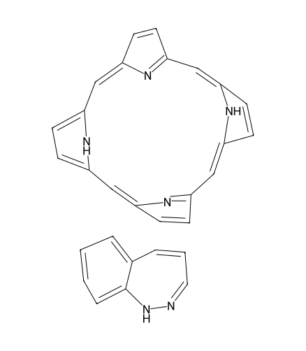 C1=Cc2cc3ccc(cc4nc(cc5ccc(cc1n2)[nH]5)C=C4)[nH]3.C1=Cc2ccccc2NN=C1